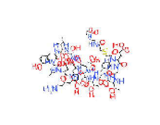 CC[C@H](C)[C@H](NC(=O)[C@H](CO)NC(=O)[C@H](Cc1ccc(O)cc1)NC(=O)[C@H](CC(=O)O)NC(=O)[C@H](CO)NC(=O)[C@@H](NC(=O)[C@H](Cc1ccccc1)NC(=O)[C@@H](NC(=O)CNC(=O)[C@H](CCC(=O)O)NC(=O)CSCC(=O)NCCN1CCOC1=O)[C@@H](C)O)[C@@H](C)O)C(=O)N[C@@H](Cc1ccc(O)cc1)C(=O)N[C@@H](CC(C)C)C(=O)N[C@@H](CC(=O)O)C(=O)N[C@H](C)CCCCN